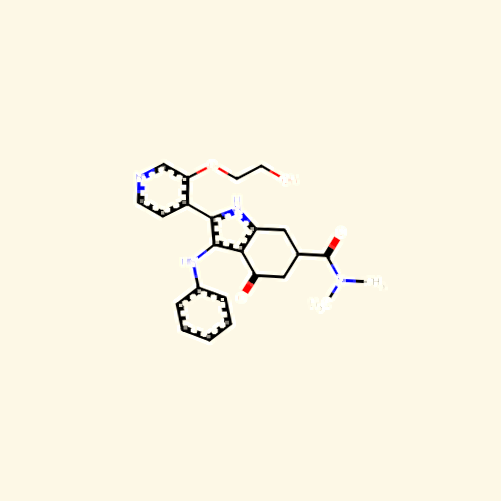 CN(C)C(=O)C1CC(=O)c2c([nH]c(-c3ccncc3OCCO)c2Nc2ccccc2)C1